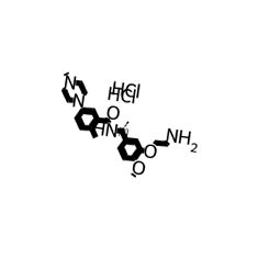 COc1ccc([C@@H](C)NC(=O)c2cc(N3CCN(C)CC3)ccc2C)cc1OCCN.Cl.Cl